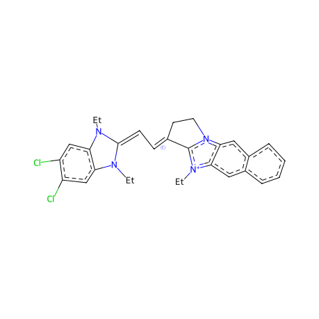 CCN1C(=C/C=C2\CCn3c2[n+](CC)c2cc4ccccc4cc23)N(CC)c2cc(Cl)c(Cl)cc21